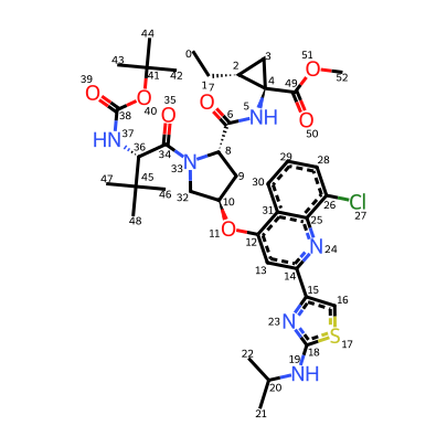 CC[C@@H]1C[C@]1(NC(=O)[C@@H]1C[C@@H](Oc2cc(-c3csc(NC(C)C)n3)nc3c(Cl)cccc23)CN1C(=O)[C@@H](NC(=O)OC(C)(C)C)C(C)(C)C)C(=O)OC